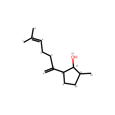 C=C(CCC=C(C)C)C1CCC(C)C1O